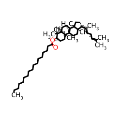 CCCCCCCCCCCCCCCCC(=O)O[C@H]1CC[C@]2(C)C3=C(CC[C@H]2C1(C)C)[C@]1(C)CC[C@H]([C@H](C)CCC=C(C)C)[C@@]1(C)CC3